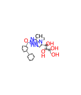 C/C(=N/NC(=O)c1cccc(-c2ccccc2)c1)c1nc([C@@H](O)[C@H](O)[C@H](O)CO)c[nH]1